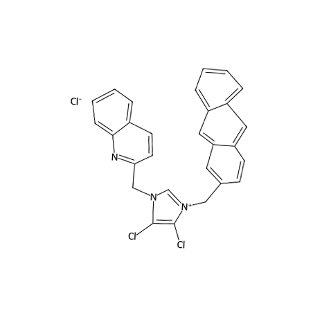 Clc1c(Cl)[n+](Cc2ccc3cc4ccccc4cc3c2)cn1Cc1ccc2ccccc2n1.[Cl-]